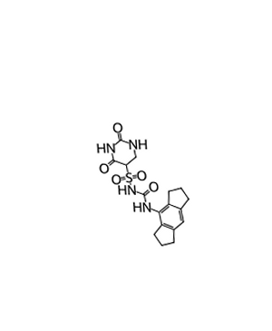 O=C1NCC(S(=O)(=O)NC(=O)Nc2c3c(cc4c2CCC4)CCC3)C(=O)N1